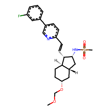 COCO[C@@H]1CC[C@@H]2[C@@H](C1)C[C@@H](NS(C)(=O)=O)[C@H]2C=Cc1ccc(-c2cccc(F)c2)cn1